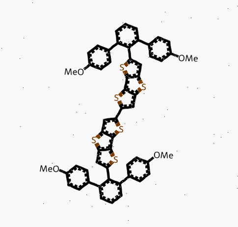 COc1ccc(-c2cccc(-c3ccc(OC)cc3)c2-c2cc3sc4cc(-c5cc6sc7cc(-c8c(-c9ccc(OC)cc9)cccc8-c8ccc(OC)cc8)sc7c6s5)sc4c3s2)cc1